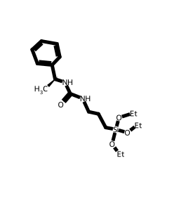 CCO[Si](CCCNC(=O)N[C@@H](C)c1ccccc1)(OCC)OCC